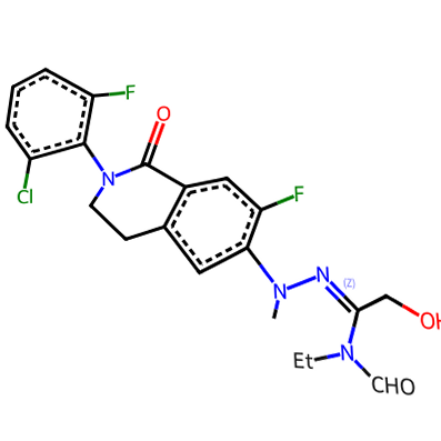 CCN(C=O)/C(CO)=N\N(C)c1cc2c(cc1F)C(=O)N(c1c(F)cccc1Cl)CC2